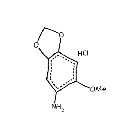 COc1cc2c(cc1N)OCO2.Cl